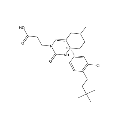 CC1CC[C@@]2(c3ccc(CCC(C)(C)C)c(Cl)c3)NC(=O)N(CCC(=O)O)C=C2C1